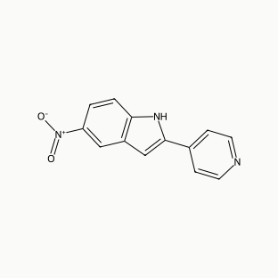 O=[N+]([O-])c1ccc2[nH]c(-c3ccncc3)cc2c1